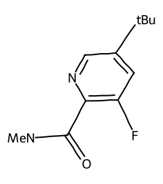 CNC(=O)c1ncc(C(C)(C)C)cc1F